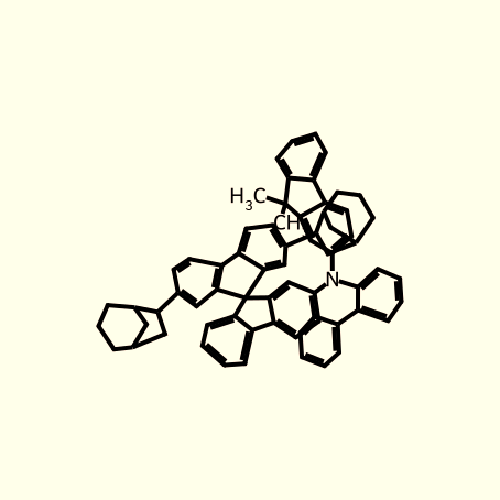 CC1(C)c2ccccc2-c2ccc(N(c3ccc4c(c3)C3(c5ccccc5-4)c4cc(C5CC6CCCC5C6)ccc4-c4ccc(C5CC6CCCC5C6)cc43)c3ccccc3-c3ccccc3)cc21